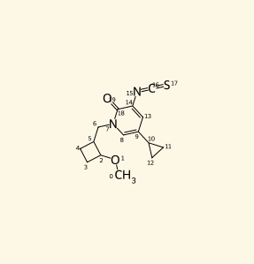 COC1CCC1Cn1cc(C2CC2)cc(N=C=S)c1=O